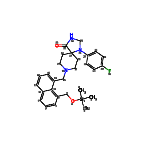 CC(C)(C)[Si](C)(C)OCc1cccc2cccc(CN3CCC4(CC3)C(=O)NCN4c3ccc(F)cc3)c12